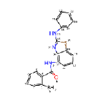 Bc1ccccc1C(=O)Nc1cccc2sc(Nc3ccccc3)nc12